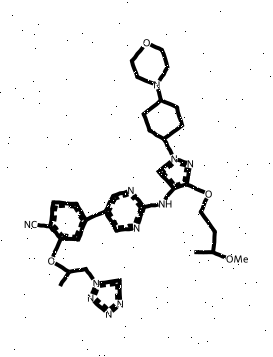 COC(C)CCOc1nn(C2CCC(N3CCOCC3)CC2)cc1Nc1ncc(-c2ccc(C#N)c(OC(C)Cn3cnnn3)c2)cn1